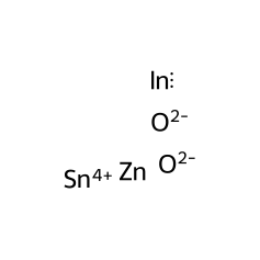 [In].[O-2].[O-2].[Sn+4].[Zn]